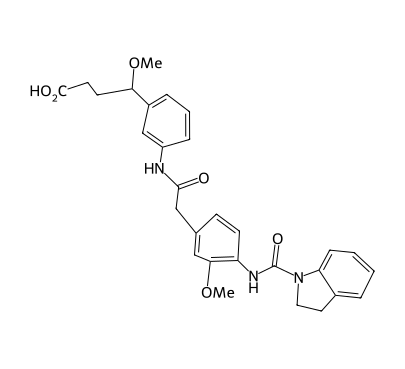 COc1cc(CC(=O)Nc2cccc(C(CCC(=O)O)OC)c2)ccc1NC(=O)N1CCc2ccccc21